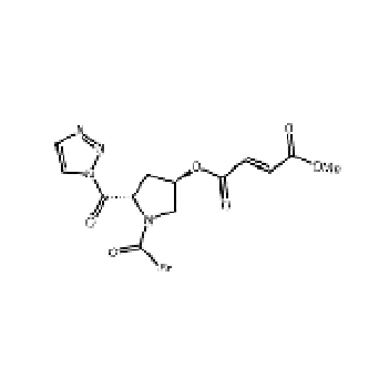 COC(=O)/C=C/C(=O)O[C@@H]1C[C@@H](C(=O)n2ccnn2)N(C(=O)C(C)C)C1